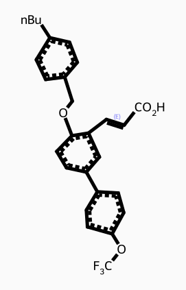 CCCCc1ccc(COc2ccc(-c3ccc(OC(F)(F)F)cc3)cc2/C=C/C(=O)O)cc1